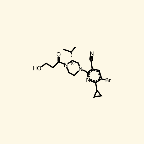 CC(C)[C@@H]1CN(c2nc(C3CC3)c(Br)cc2C#N)CCN1C(=O)CCO